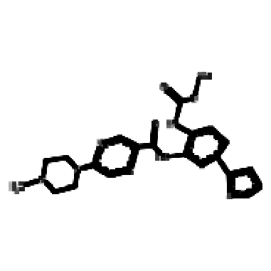 CN1CCN(c2cnc(C(=O)Nc3cc(-c4cccs4)ccc3NC(=O)OC(C)(C)C)cn2)CC1